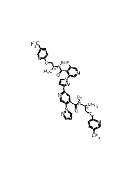 CCN(C(=O)c1cc(-c2ccn(-c3cncc(F)c3C(=O)N(CC)[C@@H](C)COc3ccc(C(F)(F)F)cn3)n2)ncc1-n1cccn1)[C@@H](C)COc1ccc(C(F)(F)F)cn1